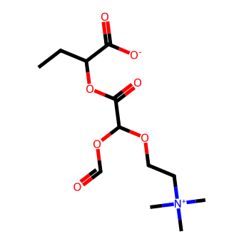 CCC(OC(=O)C(OC=O)OCC[N+](C)(C)C)C(=O)[O-]